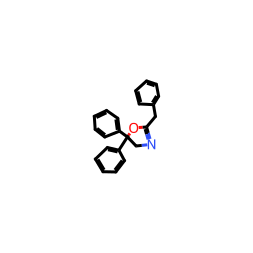 c1ccc(CC2=NCC(c3ccccc3)(c3ccccc3)O2)cc1